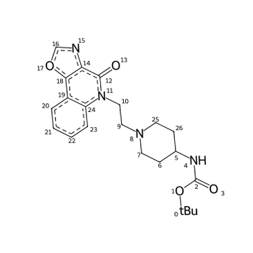 CC(C)(C)OC(=O)NC1CCN(CCn2c(=O)c3ncoc3c3ccccc32)CC1